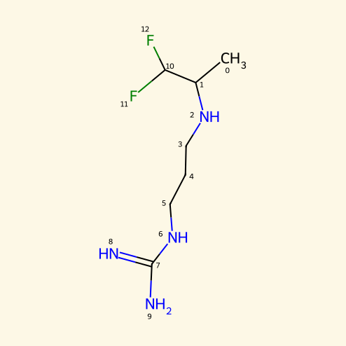 CC(NCCCNC(=N)N)C(F)F